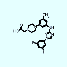 Cc1cc(Nc2ncn(-c3cc(F)cc(F)c3)n2)cc(N2CCN(CC(=O)O)CC2)c1